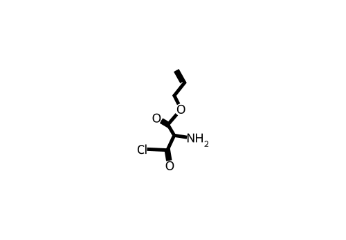 C=CCOC(=O)C(N)C(=O)Cl